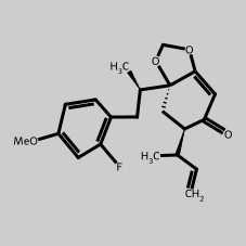 C=CC(C)[C@H]1C[C@]2([C@H](C)Cc3ccc(OC)cc3F)OCOC2=CC1=O